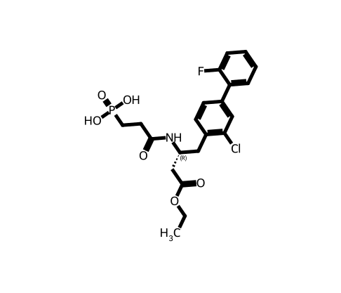 CCOC(=O)C[C@@H](Cc1ccc(-c2ccccc2F)cc1Cl)NC(=O)CCP(=O)(O)O